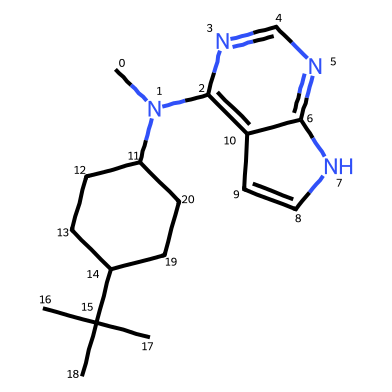 CN(c1ncnc2[nH]ccc12)C1CCC(C(C)(C)C)CC1